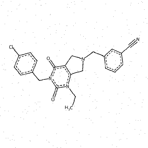 CCn1c2c(c(=O)n(Cc3ccc(Cl)cc3)c1=O)CN(Cc1cccc(C#N)c1)C2